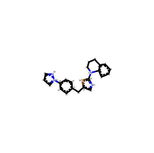 c1ccc2c(c1)CCCN2c1ncc(Cc2ccc(-n3cccn3)cc2)s1